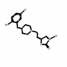 CC(C)N1CC(CCN2CCC(Cc3cc(Cl)ccc3Br)CC2)OC1=O